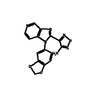 Nc1nonc1-c1nc2cnccc2n1-c1ccc2c(c1)OCO2